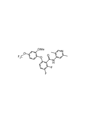 COc1cc(OC(F)(F)F)ccc1Oc1ccc(F)c(F)c1C(=O)Nc1cc(C)ncc1C